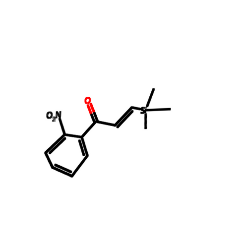 C[Si](C)(C)/C=C/C(=O)c1ccccc1[N+](=O)[O-]